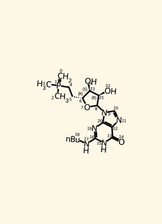 C=P(C)(C)CC[C@H]1OC(n2cnc3c(=O)[nH]c(NCCCC)nc32)[C@H](O)[C@@H]1O